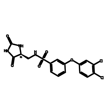 O=C1NC(=O)[C@H](CNS(=O)(=O)c2cccc(Oc3ccc(Cl)c(Cl)c3)c2)N1